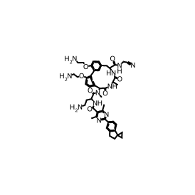 Cc1nc(-c2ccc3c(c2)CCC32CC2)nc(C)c1C(=O)NC(CCN)C(=O)N(C)C1C(=O)NC(C)C(=O)NC(C(=O)NCC#N)Cc2ccc(OCCN)c(c2)-c2cc1ccc2OCCN